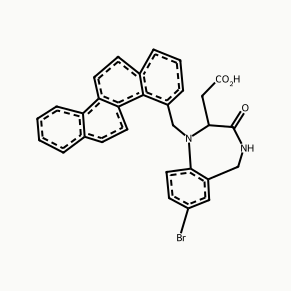 O=C(O)CC1C(=O)NCc2cc(Br)ccc2N1Cc1cccc2ccc3c4ccccc4ccc3c12